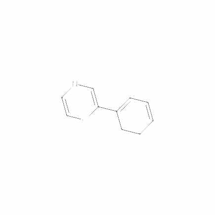 C1=CCCC(C2=C[N]C=CO2)=C1